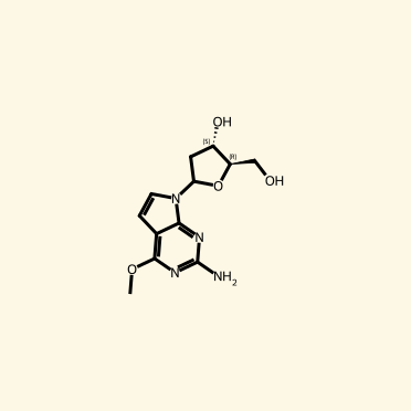 COc1nc(N)nc2c1ccn2C1C[C@H](O)[C@@H](CO)O1